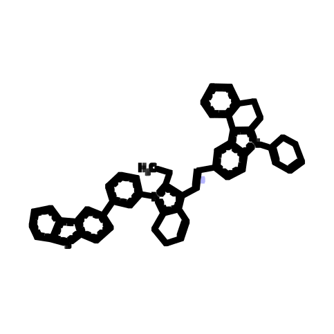 CCc1c(/C=C/c2ccc3c(c2)c2c(n3C3=CC=CCC3)CCc3ccccc3-2)c2c(n1-c1cccc(-c3ccc4sc5ccccc5c4c3)c1)CCC=C2